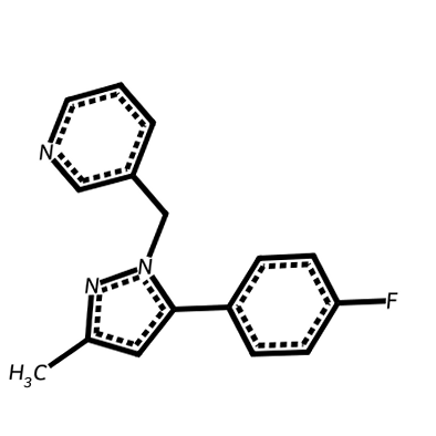 Cc1cc(-c2ccc(F)cc2)n(Cc2cccnc2)n1